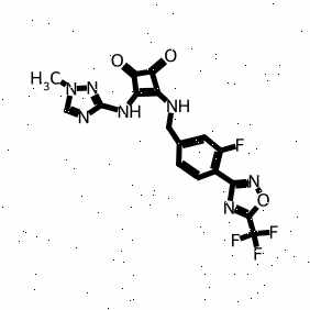 Cn1cnc(Nc2c(NCc3ccc(-c4noc(C(F)(F)F)n4)c(F)c3)c(=O)c2=O)n1